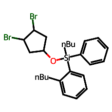 CCCCc1ccccc1[Si](CCCC)(OC1CC(Br)C(Br)C1)c1ccccc1